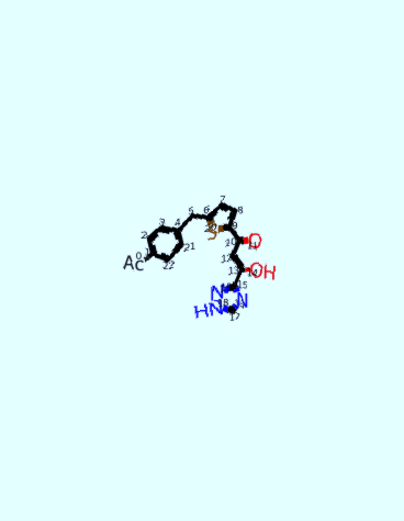 CC(=O)c1ccc(Cc2ccc(C(=O)C=C(O)c3nc[nH]n3)s2)cc1